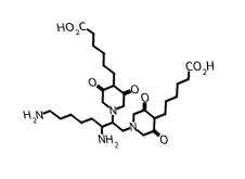 NCCCCCC(N)C(CN1CC(=O)C(CCCCCC(=O)O)C(=O)C1)N1CC(=O)C(CCCCCC(=O)O)C(=O)C1